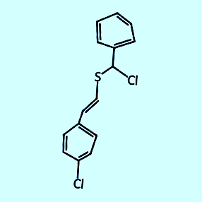 Clc1ccc(/C=C/SC(Cl)c2ccccc2)cc1